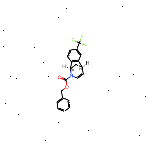 O=C(OCc1ccccc1)N1C=C[C@H]2C[C@@H]1c1ccc(C(F)(F)F)cc12